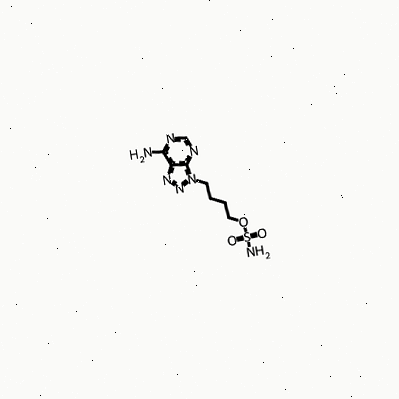 Nc1ncnc2c1nnn2CCCCOS(N)(=O)=O